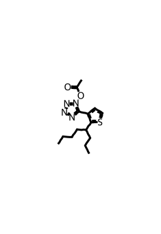 CCCCC(CCC)c1sccc1-c1nnnn1OC(C)=O